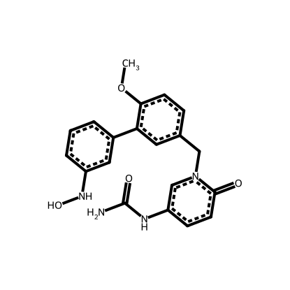 COc1ccc(Cn2cc(NC(N)=O)ccc2=O)cc1-c1cccc(NO)c1